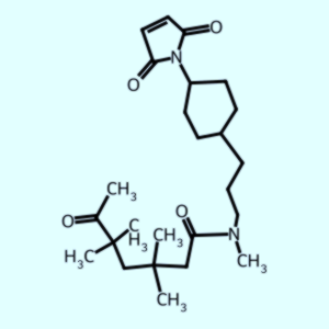 CC(=O)C(C)(C)CC(C)(C)CC(=O)N(C)CCCC1CCC(N2C(=O)C=CC2=O)CC1